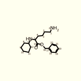 NCCCCC(NC1CCCCC1)C(=O)OCc1ccccc1